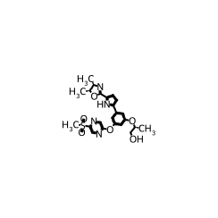 C[C@@H]1OC(c2ccc(-c3cc(Oc4cnc(S(C)(=O)=O)cn4)cc(O[C@@H](C)CO)c3)[nH]2)=N[C@@H]1C